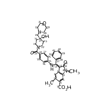 Cc1cc2c(cc1C(=O)O)N(C)C(=O)C2=C(Nc1ccc(C(=O)N2CCC(O)(CN3CCOCC3)CC2)cc1)c1ccccc1